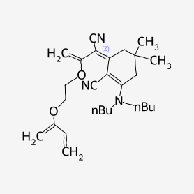 C=CC(=C)OCCOC(=C)/C(C#N)=C1/CC(C)(C)CC(N(CCCC)CCCC)=C1C#N